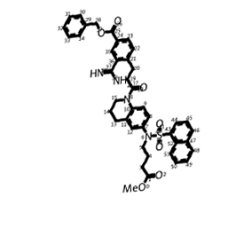 COC(=O)CCCN(c1ccc2c(c1)CCCN2C(=O)CCc1ccc(C(=O)OCc2ccccc2)cc1C(=N)N)S(=O)(=O)c1cccc2ccccc12